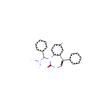 CCN(C(=O)O)C(c1ccccc1)N1C(=O)NC=C(c2ccccc2)c2cc(Cl)ccc21